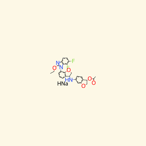 CCOc1nc2ccc(F)c(F)c2n1-c1cccc2c1OC[C@H]2Nc1ccc2c(c1)OC[C@H]2OC(C)=O.[NaH]